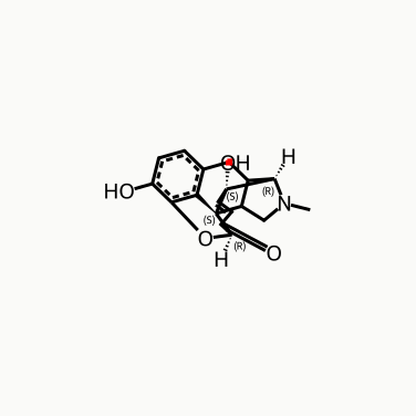 CN1CC2C3Cc4ccc(O)c5c4[C@]24[C@@H](O5)C(=O)C=C[C@@]4(O)[C@@H]31